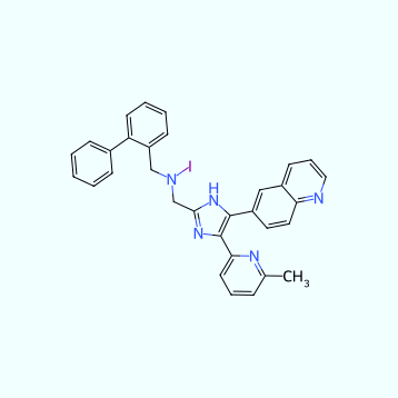 Cc1cccc(-c2nc(CN(I)Cc3ccccc3-c3ccccc3)[nH]c2-c2ccc3ncccc3c2)n1